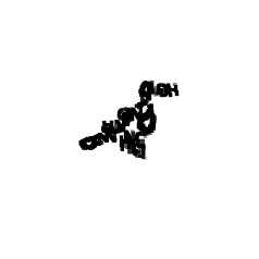 Cc1ccc(C#N)cc1N(CCN1CCC[C@@H]1CO)C(=O)CNCC(=O)N(C)N1Cc2ccccc2C1.Cl.Cl